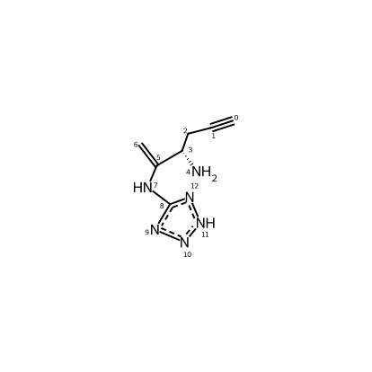 C#CC[C@H](N)C(=C)Nc1nn[nH]n1